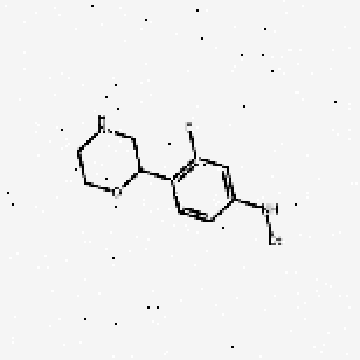 CCNc1ccc(C2CNCCO2)c(F)c1